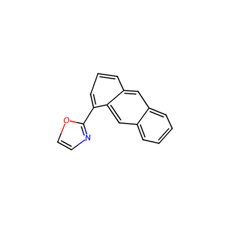 c1ccc2cc3c(-c4ncco4)cccc3cc2c1